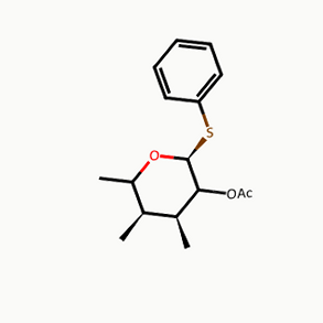 CC(=O)OC1[C@@H](C)[C@@H](C)C(C)O[C@H]1Sc1ccccc1